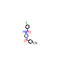 N#Cc1ccc(C(=O)N2CCN(NC(=O)c3ccc(F)cc3)CC2)cc1